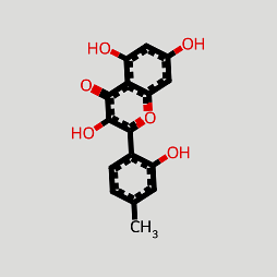 Cc1ccc(-c2oc3cc(O)cc(O)c3c(=O)c2O)c(O)c1